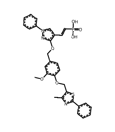 COc1cc(COc2nn(-c3ccccc3)cc2C=CP(=O)(O)O)ccc1OCc1sc(-c2ccccc2)nc1C